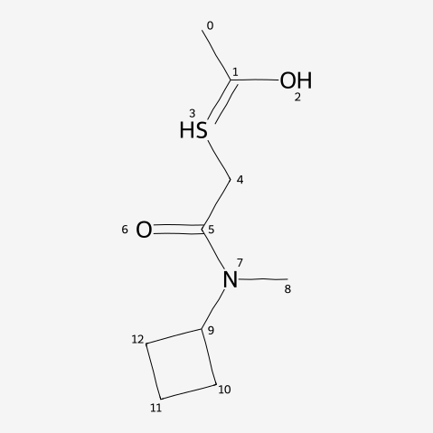 CC(O)=[SH]CC(=O)N(C)C1CCC1